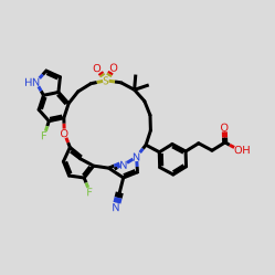 CC1(C)CCCC(c2cccc(CCC(=O)O)c2)n2cc(C#N)c(n2)-c2cc(ccc2F)Oc2c(F)cc3[nH]ccc3c2CCS(=O)(=O)C1